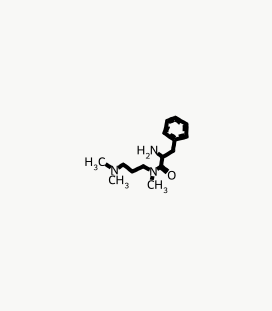 CN(C)CCCN(C)C(=O)C(N)Cc1ccccc1